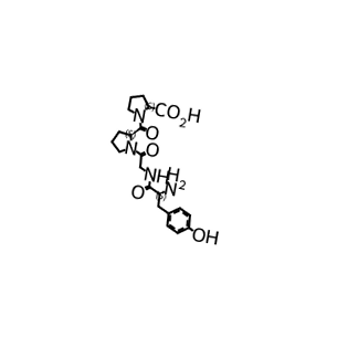 N[C@@H](Cc1ccc(O)cc1)C(=O)NCC(=O)N1CCC[C@H]1C(=O)N1CCC[C@H]1C(=O)O